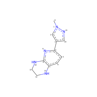 Cn1cc(-c2ccc3c(n2)NCCN3)cn1